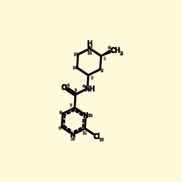 C[C@H]1CC(NC(=O)c2ccnc(Cl)n2)CCN1